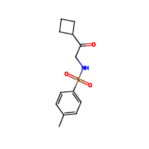 Cc1ccc(S(=O)(=O)NCC(=O)C2CCC2)cc1